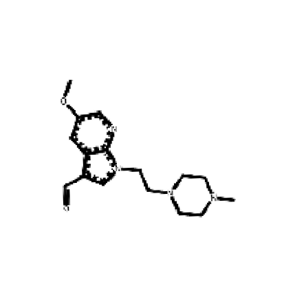 COc1cnc2c(c1)c(C=O)cn2CCN1CCN(C)CC1